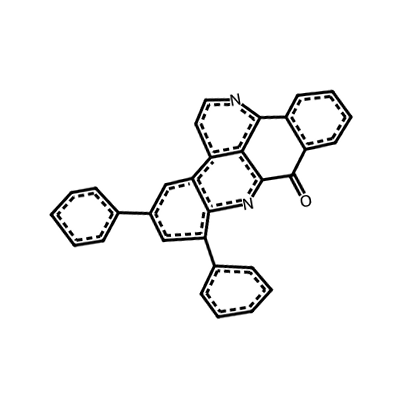 O=C1c2ccccc2-c2nccc3c2c1nc1c(-c2ccccc2)cc(-c2ccccc2)cc13